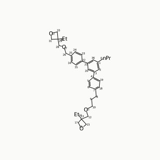 CCCc1cc(-c2ccc(CCCOCC3(CC)COC3)cc2)cc(-c2ccc(COCC3(CC)COC3)cc2)c1